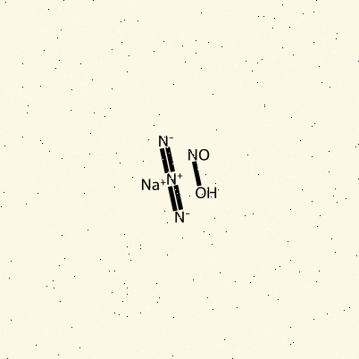 O=NO.[N-]=[N+]=[N-].[Na+]